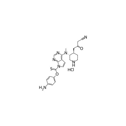 CN(c1ncnc2c1ccn2C(=S)Oc1ccc(N)cc1)[C@H]1CNCC[C@@H]1CC(=O)CC#N.Cl